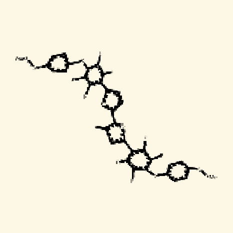 CSSc1ccc(Sc2c(F)c(F)c(-c3ccc(-c4sc(-c5c(F)c(F)c(Sc6ccc(SSC)cc6)c(F)c5F)cc4C)s3)c(F)c2F)cc1